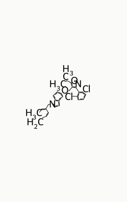 C=C/C=C\C(=C/C)Cn1ccc2cc(OCc3c(-c4c(Cl)cccc4Cl)noc3C(C)C)ccc21